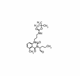 CCCC(C=O)N(C=O)C(=O)c1c(C)cccc1NCCCNC(=O)OC(C)(C)C